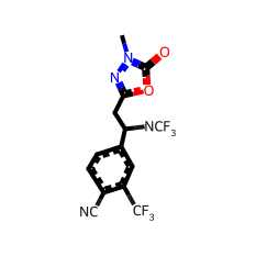 Cn1nc(CC(NC(F)(F)F)c2ccc(C#N)c(C(F)(F)F)c2)oc1=O